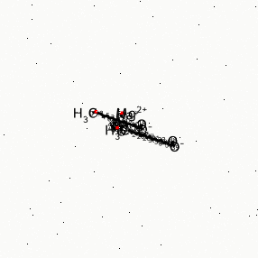 CCCCCCCCCCCCCCCCCC(=O)[O-].CCCCCCCCCCCCCCCCCC(=O)[O-].O=C([O-])c1ccccc1.[Mg+2].[Na+]